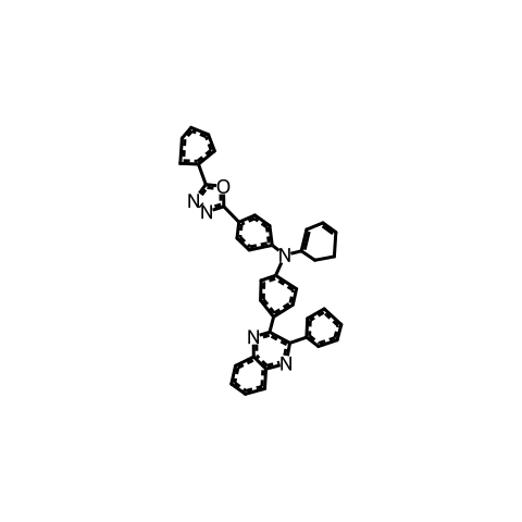 C1=CCCC(N(c2ccc(-c3nnc(-c4ccccc4)o3)cc2)c2ccc(-c3nc4ccccc4nc3-c3ccccc3)cc2)=C1